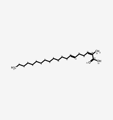 CCCCCCCCCCCCCC=CCCC=C(C)C(=O)O